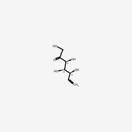 C=C[C@H](O)[C@@H](O)[C@H](O)C(=O)CO